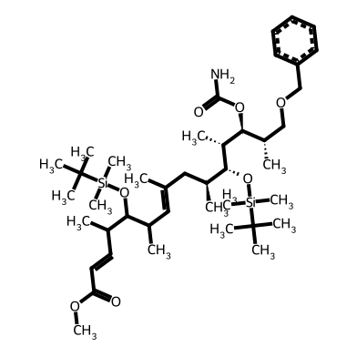 COC(=O)C=CC(C)C(O[Si](C)(C)C(C)(C)C)C(C)C=C(C)C[C@H](C)[C@@H](O[Si](C)(C)C(C)(C)C)[C@H](C)[C@@H](OC(N)=O)[C@@H](C)COCc1ccccc1